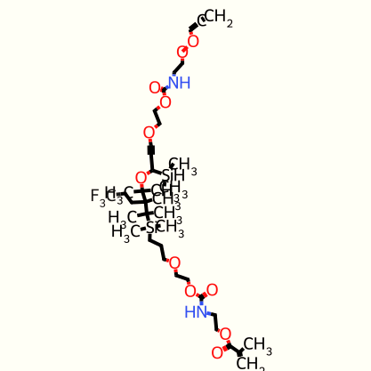 C=C=COOCCNC(=O)OCCOC#CC(OC(C)(C)C(C)(CCC(F)(F)F)C(C)(C)[Si](C)(C)CCCOCCOC(=O)NCCOC(=O)C(=C)C)[SiH](C)C